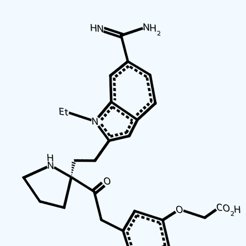 CCn1c(CC[C@]2(C(=O)Cc3cccc(OCC(=O)O)c3)CCCN2)cc2ccc(C(=N)N)cc21